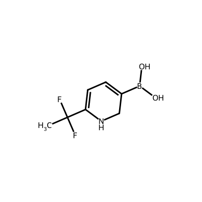 CC(F)(F)C1=CC=C(B(O)O)CN1